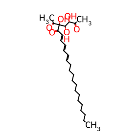 CCCCCCCCCCCCCC=CC=CC=CC(=O)C(O)(C(C)=O)C(O)C(O)C(C)=O